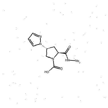 NNC(=O)[C@@H]1C[C@@H](n2cccn2)CN1C(=O)O